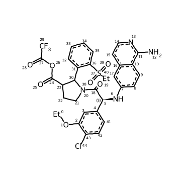 CCOc1cc([C@H](Nc2ccc3c(N)nccc3c2)C(=O)N2CCC(C(=O)OC(=O)C(F)(F)F)C2c2ccccc2S(=O)(=O)CC)ccc1Cl